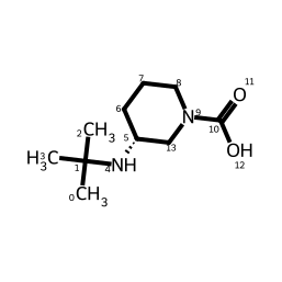 CC(C)(C)N[C@@H]1CCCN(C(=O)O)C1